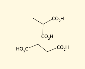 CC(C(=O)O)C(=O)O.O=C(O)CCC(=O)O